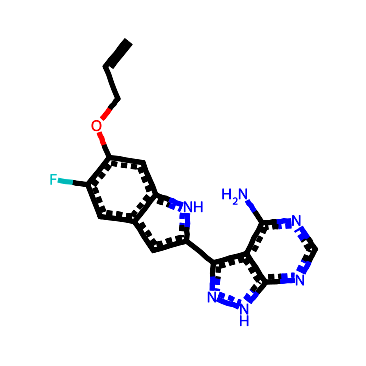 C=CCOc1cc2[nH]c(-c3n[nH]c4ncnc(N)c34)cc2cc1F